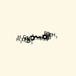 CC(C)(C)OC(=O)N1CCC(CCCOc2cc(F)c(S(C)(=O)=O)c(F)c2)CC1